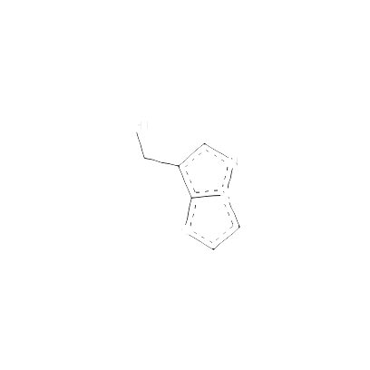 OCc1cnn2ccsc12